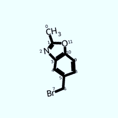 Cc1nc2cc(CBr)ccc2o1